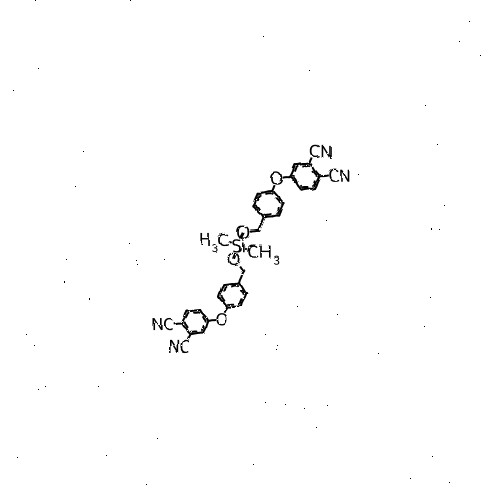 C[Si](C)(OCc1ccc(Oc2ccc(C#N)c(C#N)c2)cc1)OCc1ccc(Oc2ccc(C#N)c(C#N)c2)cc1